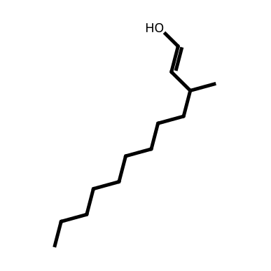 CCCCCCCCCC(C)C=CO